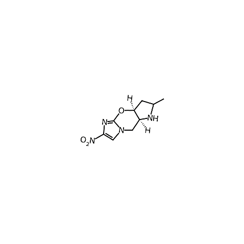 CC1C[C@@H]2Oc3nc([N+](=O)[O-])cn3C[C@@H]2N1